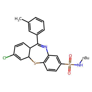 CCCCNS(=O)(=O)c1ccc2c(c1)N=C(c1cccc(C)c1)C1C=CC(Cl)=CC1S2